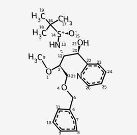 CO[C@H](COCc1ccccc1)[C@H](N[S@+]([O-])C(C)(C)C)[C@@H](O)c1ccccn1